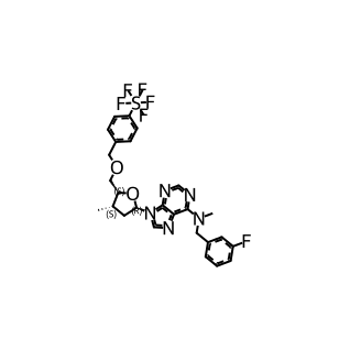 C[C@H]1C[C@H](n2cnc3c(N(C)Cc4cccc(F)c4)ncnc32)O[C@@H]1COCc1ccc(S(F)(F)(F)(F)F)cc1